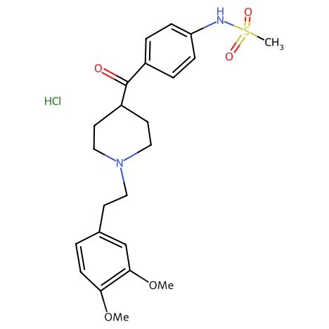 COc1ccc(CCN2CCC(C(=O)c3ccc(NS(C)(=O)=O)cc3)CC2)cc1OC.Cl